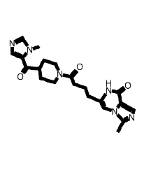 Cc1ncc2c(=O)[nH]c(CCCC(=O)N3CCC(C(=O)c4cncn4C)CC3)cn12